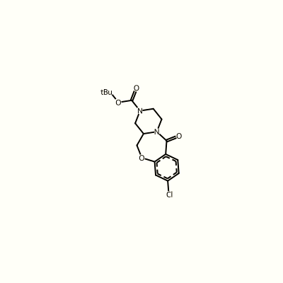 CC(C)(C)OC(=O)N1CCN2C(=O)c3ccc(Cl)cc3OCC2C1